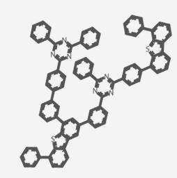 c1ccc(-c2nc(-c3ccccc3)nc(-c3ccc(-c4cccc(-c5cc(-c6cccc(-c7nc(-c8ccccc8)nc(-c8ccc(-c9cccc%10c9sc9c(-c%11ccccc%11)cccc9%10)cc8)n7)c6)cc6c5sc5c(-c7ccccc7)cccc56)c4)cc3)n2)cc1